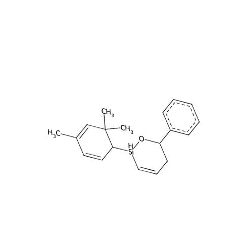 CC1=CC(C)(C)C([SiH]2C=CCC(c3ccccc3)O2)C=C1